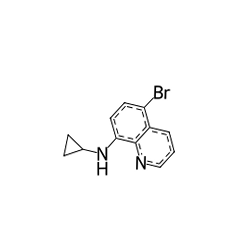 Brc1ccc(NC2CC2)c2ncccc12